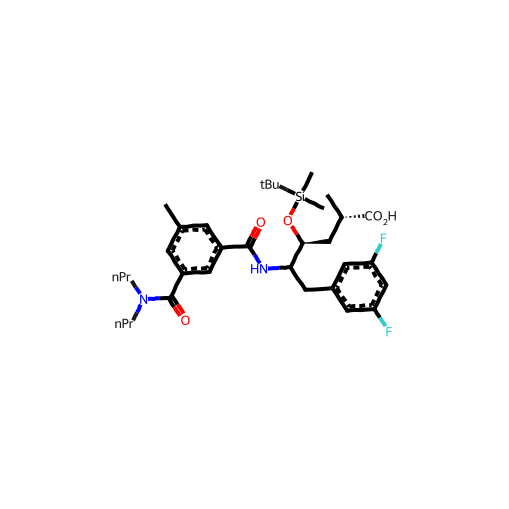 CCCN(CCC)C(=O)c1cc(C)cc(C(=O)NC(Cc2cc(F)cc(F)c2)[C@H](C[C@H](C)C(=O)O)O[Si](C)(C)C(C)(C)C)c1